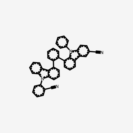 N#Cc1ccc2c(c1)c1cccc(-c3ccccc3-c3cccc4c3c3ccccc3n4-c3ccccc3C#N)c1n2-c1ccccc1